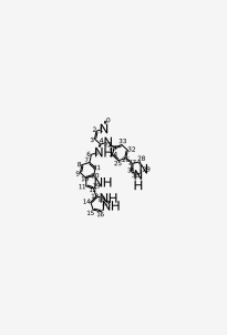 C=N/C=C\C(=N/Cc1ccc2cc(C3=CC=CNN3)[nH]c2c1)Nc1ccc(-c2cn[nH]c2)cc1